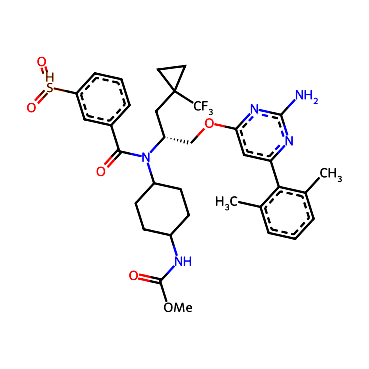 COC(=O)NC1CCC(N(C(=O)c2cccc([SH](=O)=O)c2)[C@@H](COc2cc(-c3c(C)cccc3C)nc(N)n2)CC2(C(F)(F)F)CC2)CC1